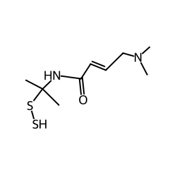 CN(C)C/C=C/C(=O)NC(C)(C)SS